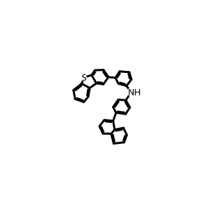 c1cc(Nc2ccc(-c3cccc4ccccc34)cc2)cc(-c2ccc3sc4ccccc4c3c2)c1